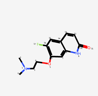 CN(C)CCOc1cc2[nH]c(=O)ccc2cc1F